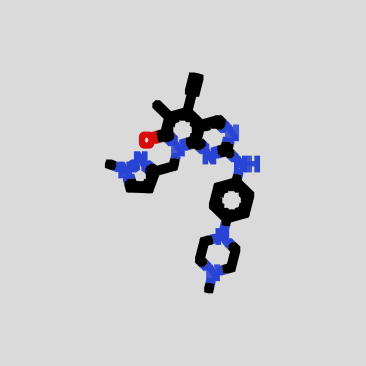 C#Cc1c(C)c(=O)n(Cc2ccn(C)n2)c2nc(Nc3ccc(N4CCN(C)CC4)cc3)ncc12